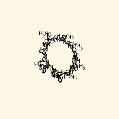 CCCC[C@H]1C(=O)N(C)[C@@H](CCCC)C(=O)N[C@@H](CC(C)C)C(=O)N[C@H](C(=O)NCC(N)=O)CSCC(=O)N[C@@H](Cc2ccc(O)cc2)C(=O)N(C)[C@@H](C)C(=O)N[C@@H](CC(N)=O)C(=O)N2CCC[C@H]2C(=O)N[C@@H](CN)C(=O)N[C@@H](CC(C)C)C(=O)N2C[C@H](O)C[C@H]2C(=O)N[C@@H](Cc2c[nH]c3ccccc23)C(=O)N[C@@H](CCN)C(=O)NC(Cn2cc(CC(=O)O)c3ncccc32)C(=O)N1C